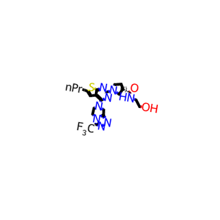 CCCc1cc2c(N3CCn4c(nnc4C(F)(F)F)C3)nc(N3CC[C@H](C(=O)NCCO)C3)nc2s1